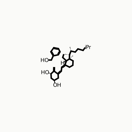 C=C1/C(=C\C=C2/CCC[C@]3(C)[C@@H]([C@H](C)CCCC(C)C)CC[C@@H]23)C[C@@H](O)C[C@@H]1O.OCc1ccccc1